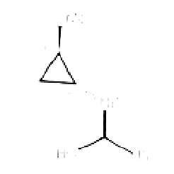 CO[C@@H]1C[C@H]1NC(O)C(C)C